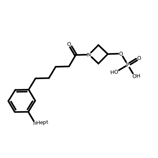 CCCCCCCc1cccc(CCCCC(=O)N2CC(OP(=O)(O)O)C2)c1